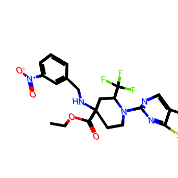 CCOC(=O)C1(NCc2cccc([N+](=O)[O-])c2)CCN(c2ncc3ccsc3n2)C(C(F)(F)F)C1